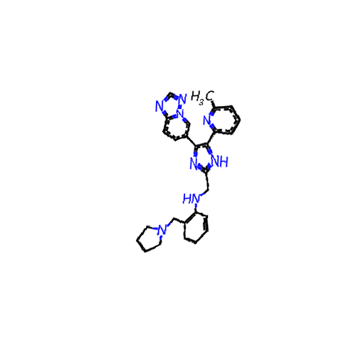 Cc1cccc(-c2[nH]c(CNC3=C(CN4CCCC4)CCC=C3)nc2-c2ccc3ncnn3c2)n1